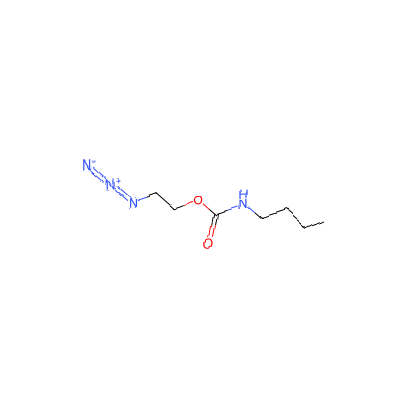 CCCCNC(=O)OCCN=[N+]=[N-]